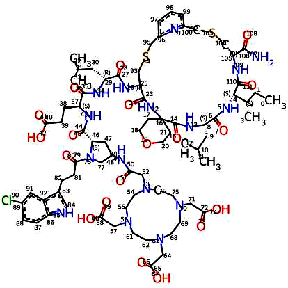 CC[C@H](C)[C@@H]1NC(=O)[C@H](CC(C)C)NC(=O)C2(CCOCC2)NC(=O)[C@@H](NC(=O)[C@@H](CC(C)C)NC(=O)[C@H](CCC(=O)O)NC(=O)[C@@H]2C[C@@H](NC(=O)CN3CCN(CC(=O)O)CCN(CC(=O)O)CCN(CC(=O)O)CC3)CN2C(=O)CCc2c[nH]c3ccc(Cl)cc23)CSCc2cccc(n2)CSC[C@@H](C(N)=O)NC1=O